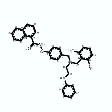 O=C(NSc1ccc(CN(CCSc2ccccc2)Cc2c(F)cccc2Cl)cc1)c1cccc2ccccc12